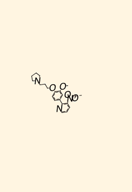 COc1cc(-c2ncccc2[N+](=O)[O-])ccc1OCCCN1CCCC1